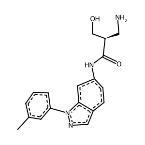 Cc1cccc(-n2ncc3ccc(NC(=O)[C@H](CN)CO)cc32)c1